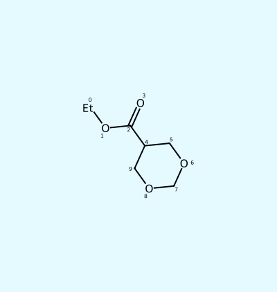 [CH2]COC(=O)C1COCOC1